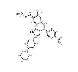 Cc1cc(OC(c2ccc(OC(F)(F)F)cc2)c2cc(-c3ccc(N4CCOCC4)cc3)[nH]n2)ccc1OCC(=O)O